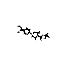 COC(=O)c1ccc(N2CC(C)N(C(=O)OC(C)(C)C)C(C)C2)nc1